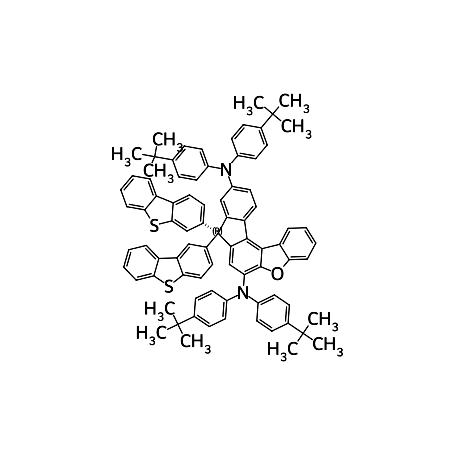 CC(C)(C)c1ccc(N(c2ccc(C(C)(C)C)cc2)c2ccc3c(c2)[C@](c2ccc4c(c2)sc2ccccc24)(c2ccc4sc5ccccc5c4c2)c2cc(N(c4ccc(C(C)(C)C)cc4)c4ccc(C(C)(C)C)cc4)c4oc5ccccc5c4c2-3)cc1